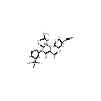 CC(=O)C1=C(C)N(c2cccc(C(F)(F)F)c2)C(=O)N(CC(N)=O)[C@@H]1c1ccc(C#N)cc1